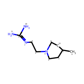 CC1CCN(CCN=C(N)N)CC1